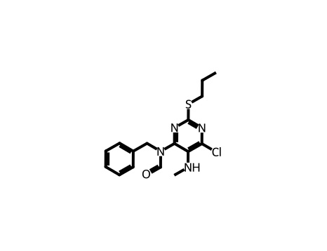 CCCSc1nc(Cl)c(NC)c(N(C=O)Cc2ccccc2)n1